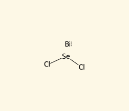 Cl[Se]Cl.[Bi]